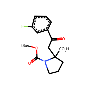 CC(C)(C)OC(=O)N1CCCC1(CC(=O)c1cccc(F)c1)C(=O)O